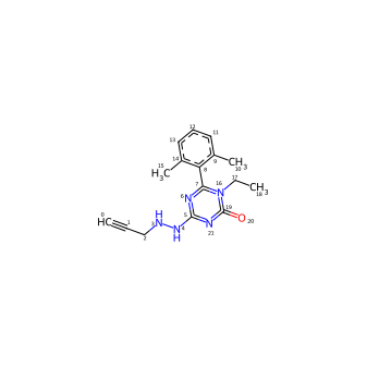 C#CCNNc1nc(-c2c(C)cccc2C)n(CC)c(=O)n1